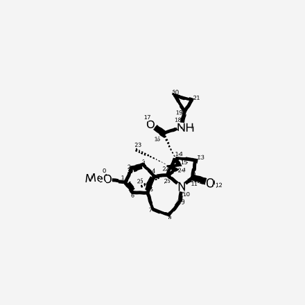 COc1ccc2c(c1)CCCN1C(=O)CC3[C@H](C(=O)NC4CC4)[C@@H](C)[C@H](C)C231